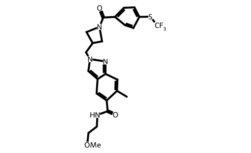 COCCNC(=O)c1cc2cn(CC3CN(C(=O)c4ccc(SC(F)(F)F)cc4)C3)nc2cc1C